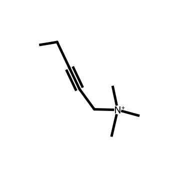 CCC#CC[N+](C)(C)C